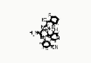 Cc1cnccc1C1N(c2cccc(C#N)c2)C=C(N)c2nc(C(O)c3c(F)cccc3F)nn21